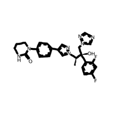 C[C@@H](n1cc(-c2ccc(N3CCCNC3=O)cc2)cn1)[C@](O)(Cn1cncn1)c1ccc(F)cc1F